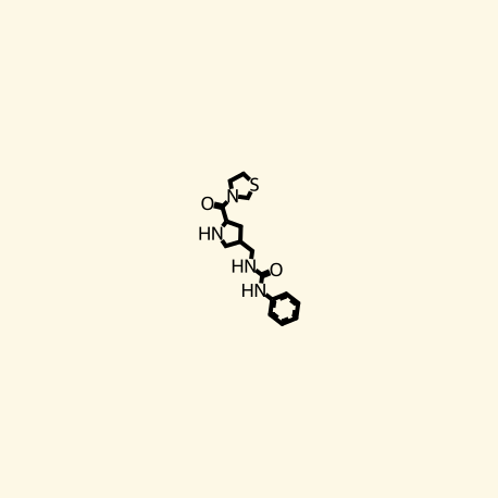 O=C(NCC1CNC(C(=O)N2CCSC2)C1)Nc1ccccc1